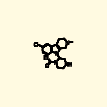 CCC(=O)N1CCNCC1n1c2c(c3cc(Cl)ccc31)CCN(C)C2